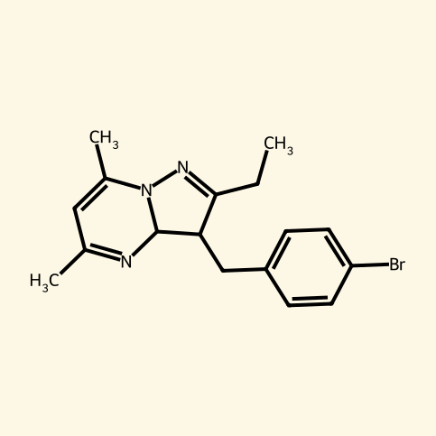 CCC1=NN2C(C)=CC(C)=NC2C1Cc1ccc(Br)cc1